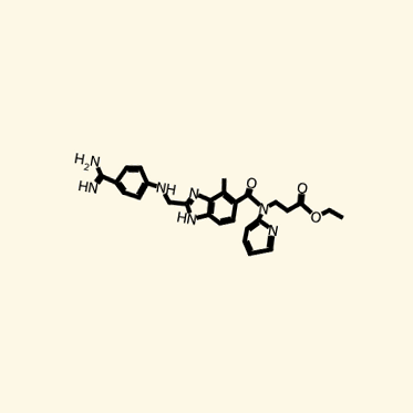 CCOC(=O)CCN(C(=O)c1ccc2[nH]c(CNc3ccc(C(=N)N)cc3)nc2c1C)c1ccccn1